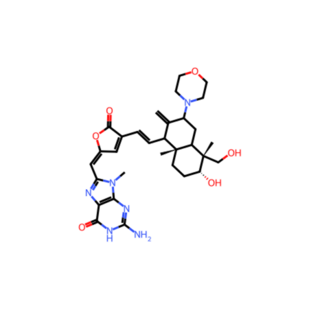 C=C1C(N2CCOCC2)CC2[C@](C)(CC[C@@H](O)[C@@]2(C)CO)C1/C=C/C1=CC(=C\c2nc3c(=O)[nH]c(N)nc3n2C)/OC1=O